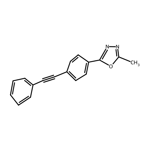 Cc1nnc(-c2ccc(C#Cc3ccccc3)cc2)o1